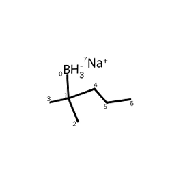 [BH3-]C(C)(C)CCC.[Na+]